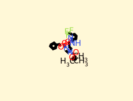 CC(C)(C)OC(=O)N1CCN(C(=O)OCc2ccccc2)C(C(=O)Nc2cccc(C(F)(F)F)n2)C1